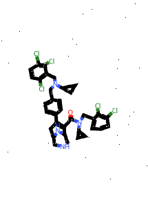 O=C(C1=C(c2ccc(CN(Cc3c(Cl)ccc(Cl)c3Cl)C3CC3)cc2)CC2CNCC1N2)N(Cc1cccc(Cl)c1Cl)C1CC1